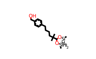 C[SiH2]OC(O[SiH2]C)C(C)(C)CCCCc1ccc(CO)cc1